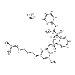 Cc1cc(OCCCONC(=N)N)cc(OS(=O)(=O)c2ccccc2S(=O)(=O)N(C)Cc2cccnc2)c1.Cl.Cl